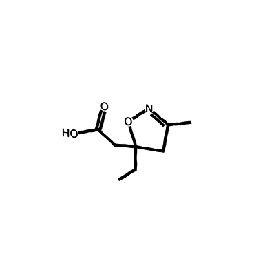 CCC1(CC(=O)O)CC(C)=NO1